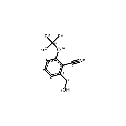 N#Cc1c([CH]O)cccc1OC(F)(F)F